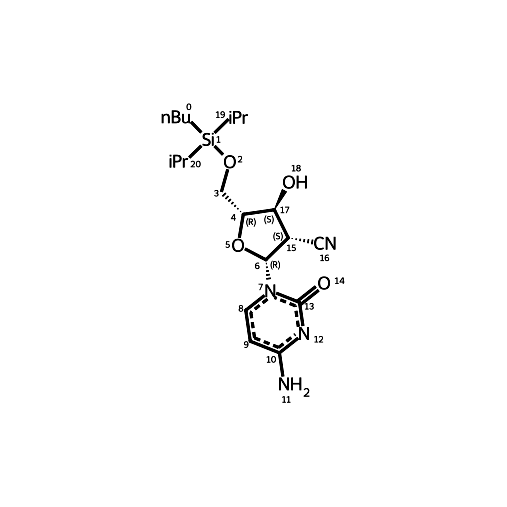 CCCC[Si](OC[C@H]1O[C@@H](n2ccc(N)nc2=O)[C@@H](C#N)[C@@H]1O)(C(C)C)C(C)C